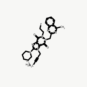 CC#CCn1c(N2CCC[C@@H](N)C2)nc2c(=O)n(CCF)n(Cc3nc(C)c4ccccc4n3)c(=O)c21